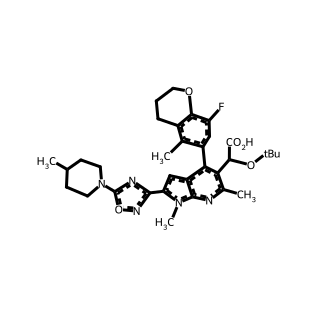 Cc1nc2c(cc(-c3noc(N4CCC(C)CC4)n3)n2C)c(-c2cc(F)c3c(c2C)CCCO3)c1C(OC(C)(C)C)C(=O)O